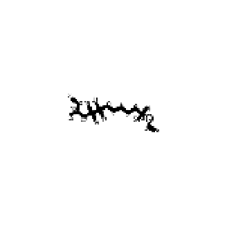 C=COC(C)(C)CCCCCC(C)(C)C(C)(C)CC(C)CC